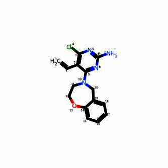 C=Cc1c(Cl)nc(N)nc1N1CCOc2cc[c]cc2C1